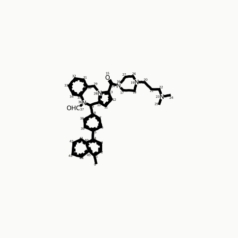 Cc1ccc(-c2ccc(C3c4ccc(C(=O)N5CCN(CCCN(C)C)CC5)n4Cc4ccccc4N3C=O)cc2)c2ccccc12